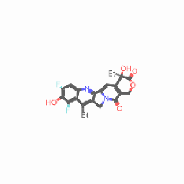 CCc1c2c(nc3cc(F)c(O)c(F)c13)-c1cc3c(c(=O)n1C2)COC(=O)[C@]3(O)CC